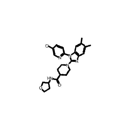 Cc1cc2nc(N3CCC(C(=O)NC4CCOC4)CC3)n(-c3ccc(Cl)cn3)c2cc1C